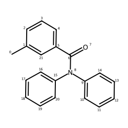 Cc1cccc(C(=O)N(c2ccccc2)c2ccccc2)c1